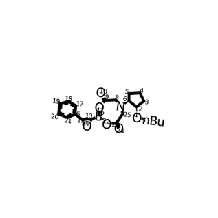 CCCCO[C@H]1CCC[C@@H]1N1CC(=O)OB(C2OC2c2ccccc2)OC(=O)C1